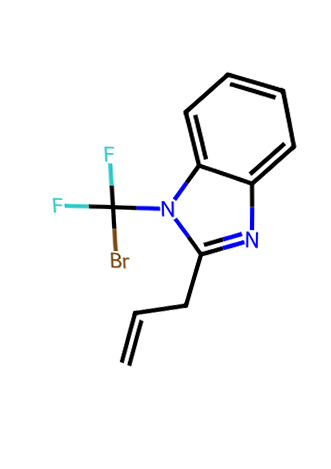 C=CCc1nc2ccccc2n1C(F)(F)Br